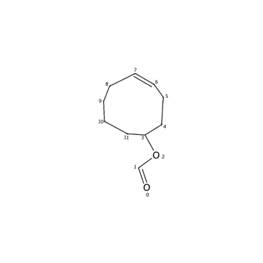 O=COC1CCC=CCCCC1